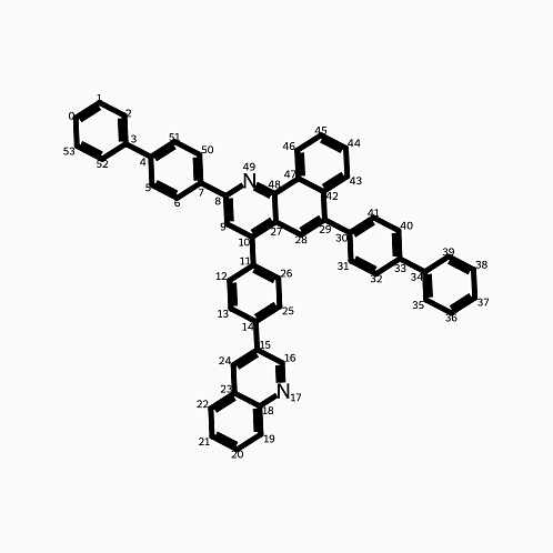 c1ccc(-c2ccc(-c3cc(-c4ccc(-c5cnc6ccccc6c5)cc4)c4cc(-c5ccc(-c6ccccc6)cc5)c5ccccc5c4n3)cc2)cc1